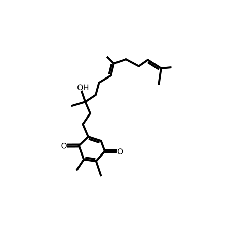 CC(C)=CCC/C(C)=C/CCC(C)(O)CCC1=CC(=O)C(C)=C(C)C1=O